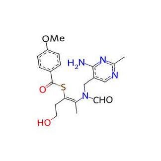 COc1ccc(C(=O)S/C(CCO)=C(/C)N(C=O)Cc2cnc(C)nc2N)cc1